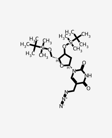 CC(C)(C)[Si](C)(C)OC[C@H]1O[C@@H](n2cc(CN=[N+]=[N-])c(=O)[nH]c2=O)CC1O[Si](C)(C)C(C)(C)C